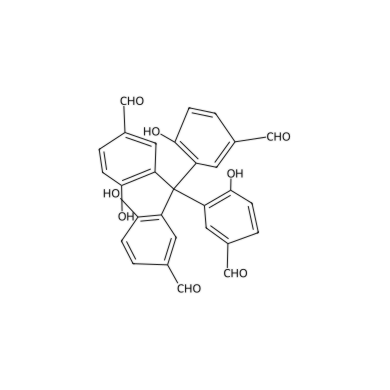 O=Cc1ccc(O)c(C(c2cc(C=O)ccc2O)(c2cc(C=O)ccc2O)c2cc(C=O)ccc2O)c1